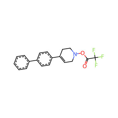 O=C(ON1CC=C(c2ccc(-c3ccccc3)cc2)CC1)C(F)(F)F